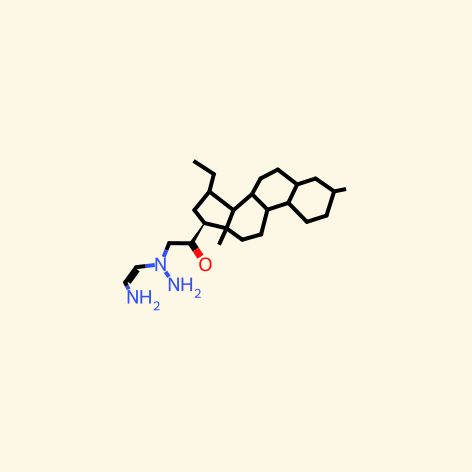 CCC1C[C@H](C(=O)CN(N)/C=C\N)C2(C)CCC3C4CCC(C)CC4CCC3C12